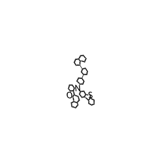 c1cc(-c2ccc(N(c3ccc4c(c3)sc3ccccc34)c3cccc4oc5c6ccccc6ccc5c34)cc2)cc(-c2cccc3ccccc23)c1